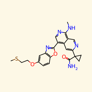 CNc1ncc(-c2nc3cc(OCCSC)ccc3o2)c2cc(C3(C(N)=O)CC3)ncc12